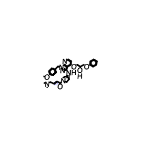 COc1ccc(Cn2nc(N[C@@H]3CCN(C(=O)/C=C/CN(C)C)C3)c3c(OCC(O)COc4ccccc4)ccnc32)cc1